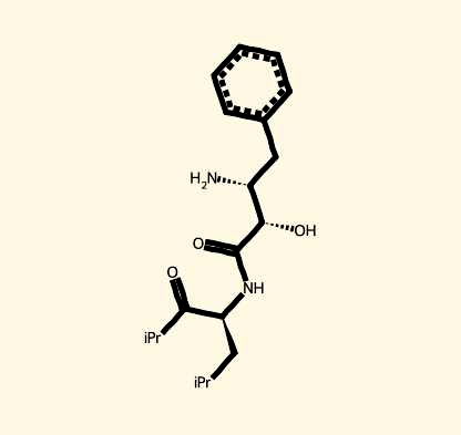 CC(C)C[C@H](NC(=O)[C@@H](O)[C@H](N)Cc1ccccc1)C(=O)C(C)C